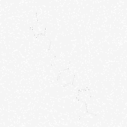 CCc1nnc(CCCOc2c(C)cc(-c3noc(C(F)F)n3)cc2C)s1